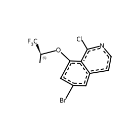 C[C@H](Oc1cc(Br)cc2ccnc(Cl)c12)C(F)(F)F